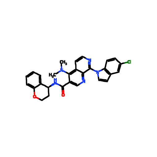 CN(C)c1c(C(=O)N[C@H]2CCOc3ccccc32)cnc2c(-n3ccc4cc(Cl)ccc43)nccc12